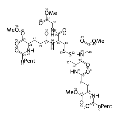 CCCCCC(=O)NC(CCC(=O)NC(CSSCC(NC(=O)CCC(NC(=O)CCCCC)C(=O)OOC)C(=O)NCC(=O)OC)C(=O)NCC(=O)OC)C(=O)OC